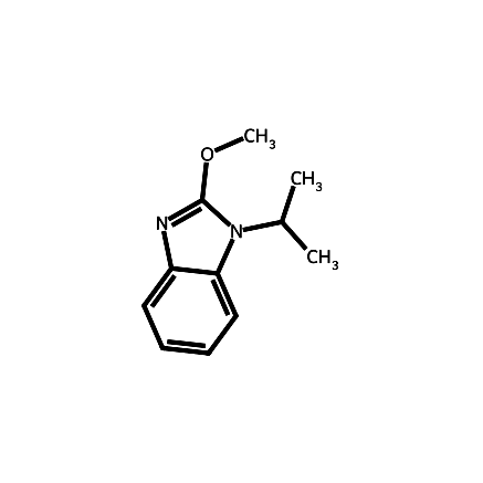 COc1nc2ccccc2n1C(C)C